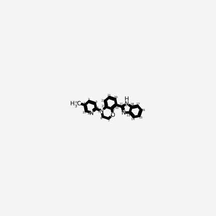 Cc1ccc(N2CCOc3c(-c4nc5ccccc5[nH]4)cccc32)nc1